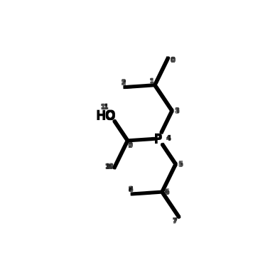 CC(C)CP(CC(C)C)C(C)O